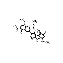 CCn1cc(C(=O)O)c(=O)c2cc(-c3cnc4[nH]c5c(NC)cc(F)c(F)c5c4c3N(C)CCOC)cnc21